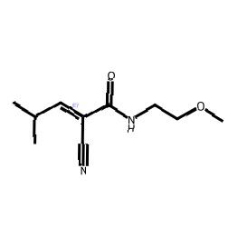 COCCNC(=O)/C(C#N)=C/C(C)C